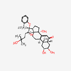 CC(C)(O)CCC(O)[C@](C)(Oc1ccccc1C(=O)O)[C@H]1CC[C@@]2(O)C3=CC(=O)[C@@H]4C[C@@H](O)[C@@H](O)C[C@]4(C)[C@H]3CC[C@]12C